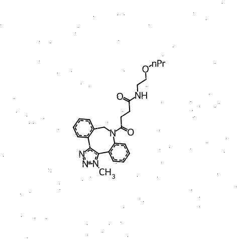 CCCOCCNC(=O)CCC(=O)N1Cc2ccccc2-c2nnn(C)c2-c2ccccc21